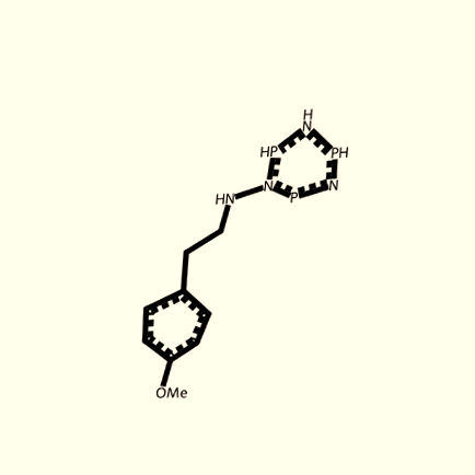 COc1ccc(CCNn2pn[pH][nH][pH]2)cc1